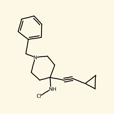 ClNC1(C#CC2CC2)CCN(Cc2ccccc2)CC1